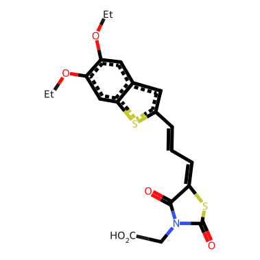 CCOc1cc2cc(C=CC=C3SC(=O)N(CC(=O)O)C3=O)sc2cc1OCC